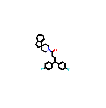 O=C(CC=C(c1ccc(F)cc1)c1ccc(F)cc1)N1CCC2(C=Cc3ccccc32)CC1